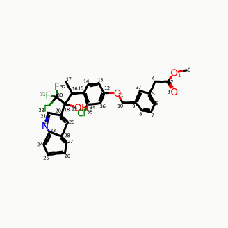 COC(=O)Cc1cccc(COc2ccc(C(C)C(O)(c3cnc4ccccc4c3)C(F)(F)F)c(Cl)c2)c1